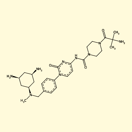 CN(Cc1ccc(-n2ccc(NC(=O)N3CCN(C(=O)C(C)(C)N)CC3)nc2=O)cc1)[C@@H]1C[C@H](N)C[C@H](N)C1